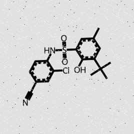 Cc1cc(C(C)(C)C)c(O)c(S(=O)(=O)Nc2ccc(C#N)cc2Cl)c1